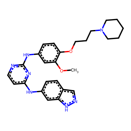 COc1cc(Nc2nccc(Nc3ccc4cn[nH]c4c3)n2)ccc1OCCCN1CCCCC1